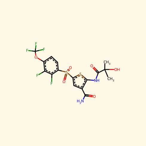 CC(C)(O)C(=O)Nc1sc(S(=O)(=O)c2ccc(OC(F)(F)F)c(F)c2F)cc1C(N)=O